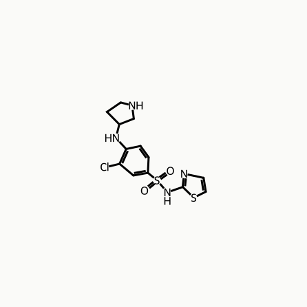 O=S(=O)(Nc1nccs1)c1ccc(NC2CCNC2)c(Cl)c1